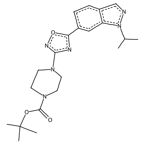 CC(C)n1ncc2ccc(-c3nc(N4CCN(C(=O)OC(C)(C)C)CC4)no3)cc21